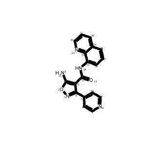 Nc1onc(-c2ccncc2)c1C(=O)Nc1cccc2cccnc12